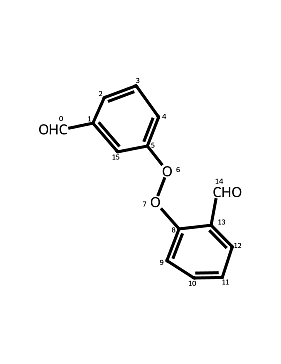 O=Cc1cccc(OOc2ccccc2C=O)c1